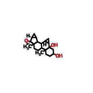 C[C@]12CCC3C(C4C[C@H]4[C@]4(O)C[C@@H](O)CC[C@]34C)C1C1C[C@@H]1[C@@]21CO1